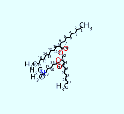 CCCCCCCCCC(CCCCCCCCC)C(=O)OCC(CCCCCCCC)OC(=O)CCCCN(C)C